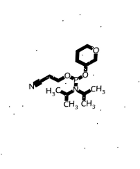 CC(C)N(C(C)C)P(OCCC#N)OC1CCCOC1